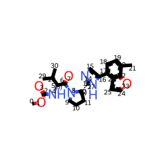 COC(=O)N[C@H](C(=O)N1CCC[C@H]1c1ncc(-c2ccc(C)c3occc23)[nH]1)C(C)C